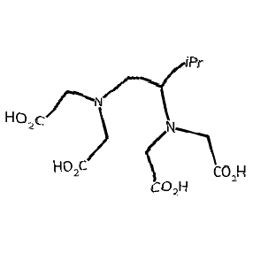 CC(C)C(CN(CC(=O)O)CC(=O)O)N(CC(=O)O)CC(=O)O